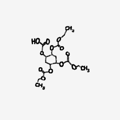 CCOC(=O)OC1CC(OC(=O)OCC)C(OC(=O)OCC)CC1OC(=O)O